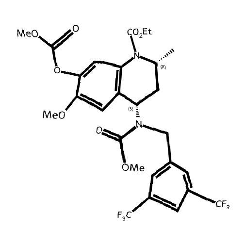 CCOC(=O)N1c2cc(OC(=O)OC)c(OC)cc2[C@@H](N(Cc2cc(C(F)(F)F)cc(C(F)(F)F)c2)C(=O)OC)C[C@H]1C